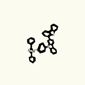 c1ccc(C2=NC(c3ccccc3)=[N+]2c2ccc(-n3c4ccccc4c4ccc(-c5cccc6c5sc5ccccc56)cc43)cc2)cc1